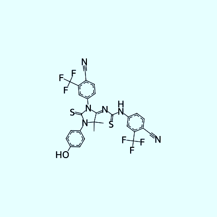 CC1(C)C(=NC(=S)Nc2ccc(C#N)c(C(F)(F)F)c2)N(c2ccc(C#N)c(C(F)(F)F)c2)C(=S)N1c1ccc(O)cc1